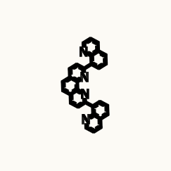 c1cnc2c(-c3ccc4ccc5ccc(-c6cccc7cccnc67)nc5c4n3)cccc2c1